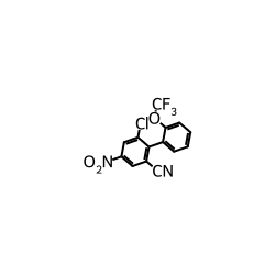 N#Cc1cc([N+](=O)[O-])cc(Cl)c1-c1ccccc1OC(F)(F)F